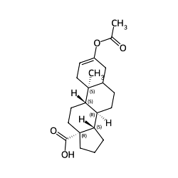 CC(=O)OC1=CC[C@@]2(C)C(CC[C@H]3[C@@H]4CCC[C@@]4(C(=O)O)CC[C@@H]32)C1